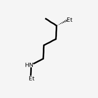 CCNCCC[C@H](C)CC